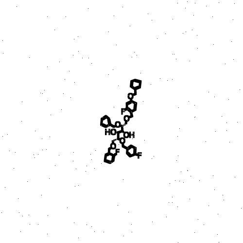 O[C@@H]([C@H](O)[C@@H](COCc1ccc(OCc2ccccc2)cc1F)OCc1ccccc1)[C@@H](COCc1ccccc1F)OCc1ccc(F)cc1